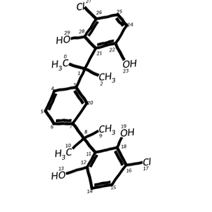 CC(C)(c1cccc(C(C)(C)c2c(O)ccc(Cl)c2O)c1)c1c(O)ccc(Cl)c1O